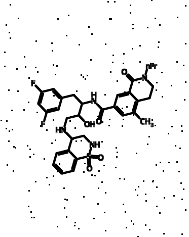 CCCN1CCc2c(C)cc(C(=O)NC(Cc3cc(F)cc(F)c3)C(O)CNC3CNS(=O)(=O)c4ccccc43)cc2C1=O